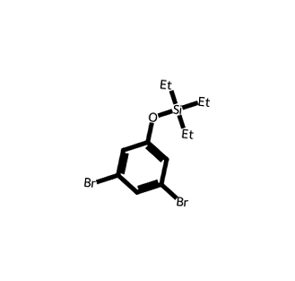 CC[Si](CC)(CC)Oc1cc(Br)cc(Br)c1